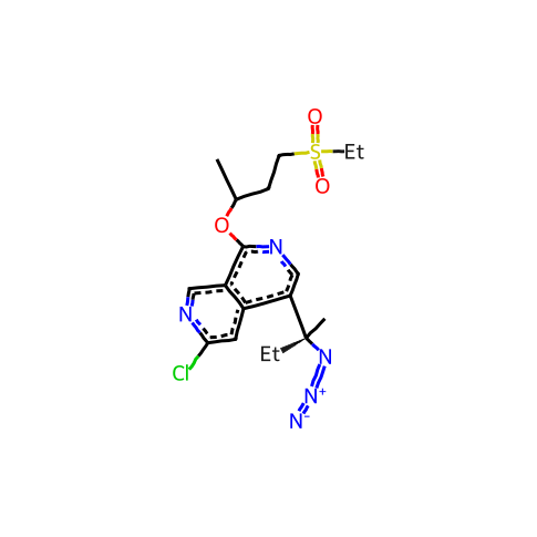 CC[C@@](C)(N=[N+]=[N-])c1cnc(OC(C)CCS(=O)(=O)CC)c2cnc(Cl)cc12